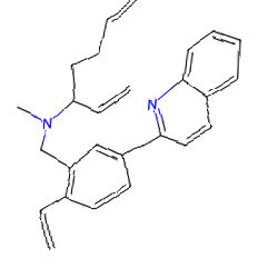 C=CCCC(C=C)N(C)Cc1cc(-c2ccc3ccccc3n2)ccc1C=C